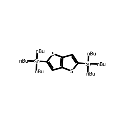 CCC[CH2][Sn]([CH2]CCC)([CH2]CCC)[c]1cc2s[c]([Sn]([CH2]CCC)([CH2]CCC)[CH2]CCC)cc2s1